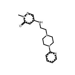 Cn1ncc(NCCN2CCN(c3ccccn3)CC2)cc1=O